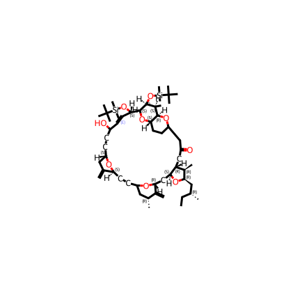 C=C1C[C@@H]2CCC(O)/C=C/[C@H](O[Si](C)(C)C(C)(C)C)[C@@H]3O[C@H]4CCC(CC(=O)C[C@@H]5[C@@H](C)[C@@H](C[C@H](C)CC)O[C@H]5C[C@H]5OC(CC[C@@H]1O2)C[C@@H](C)C5=C)O[C@@H]4[C@H](C)[C@@H]3O[Si](C)(C)C(C)(C)C